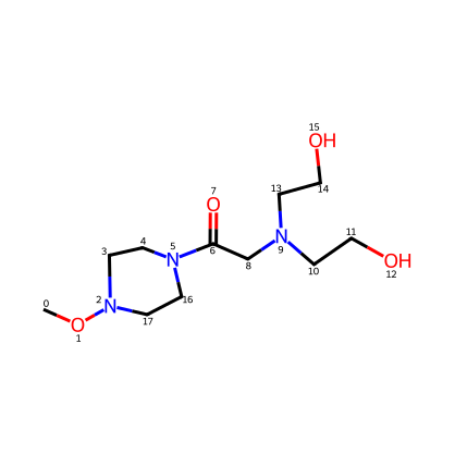 CON1CCN(C(=O)CN(CCO)CCO)CC1